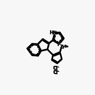 [Cl-].[Cl-].[Zr+2][C]1=C(C2C(c3[nH]ccp3)=Cc3ccccc32)C=CC1